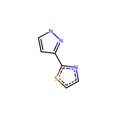 C1=CC(c2nccs2)=N[N]1